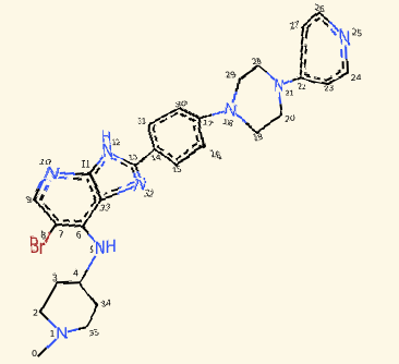 CN1CCC(Nc2c(Br)cnc3[nH]c(-c4ccc(N5CCN(c6ccncc6)CC5)cc4)nc23)CC1